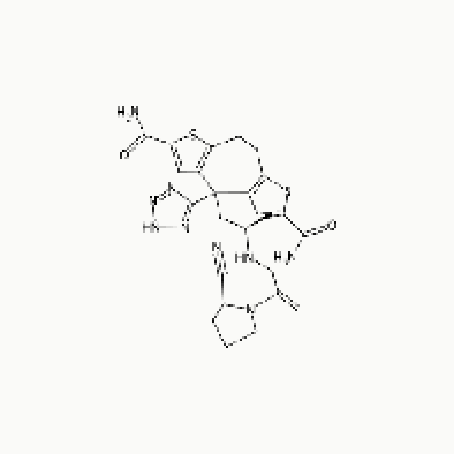 C=C(CN[C@H](C)CC1(c2nn[nH]n2)c2cc(C(N)=O)sc2CCc2sc(C(N)=O)cc21)N1CCCC1C#N